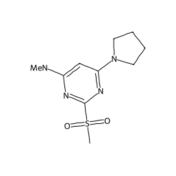 CNc1cc(N2CCCC2)nc(S(C)(=O)=O)n1